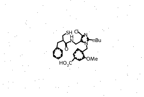 CCCCc1nc(Cl)c(CNC(=O)C(CS)Cc2ccccc2)n1Cc1ccc(C(=O)O)cc1OC